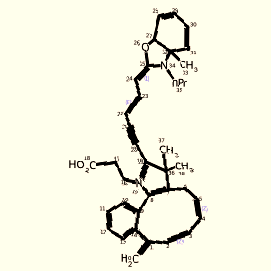 C=C1/C=C\C=C/CC2=C(c3ccccc31)[N+](CCC(=O)O)=C(C#C/C=C/C=C1/OC3C=CC=CC3(C)N1CCC)C2(C)C